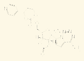 N#C[C@@]1(c2ccc3c(N)nnnn23)O[C@H](CO[P@@]2(=O)OCC[C@@H](c3ccncc3)O2)[C@H]2OC(=O)O[C@H]21